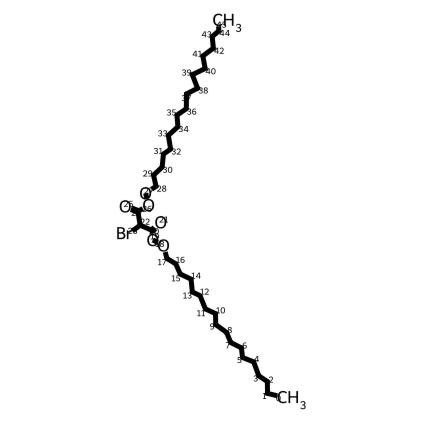 CCCCCCCCCCCCCCCCCCOOC(=O)C(Br)C(=O)OOCCCCCCCCCCCCCCCCCC